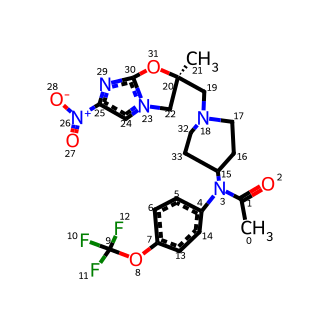 CC(=O)N(c1ccc(OC(F)(F)F)cc1)C1CCN(C[C@@]2(C)Cn3cc([N+](=O)[O-])nc3O2)CC1